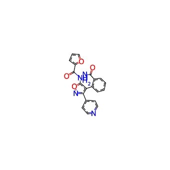 NC(=O)c1ccccc1-c1c(-c2ccncc2)noc1NC(=O)c1ccco1